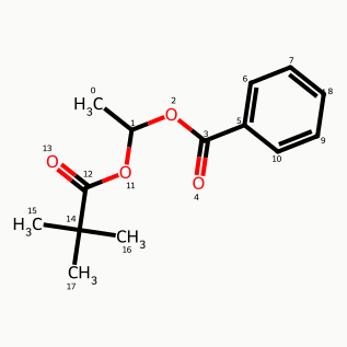 CC(OC(=O)c1cc[c]cc1)OC(=O)C(C)(C)C